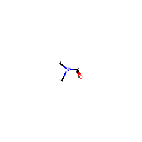 C[N+](C)C=O